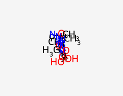 Cc1ccnc(CNC(=O)[C@H](C(C)C)n2cc(Cn3c(=O)c(C)cn([C@H]4CC(O)[C@@H](CO)O4)c3=O)nn2)c1